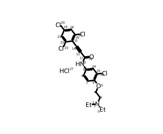 CCN(CC)CCOc1ccc(NC(=O)C#Cc2c(Cl)cc(Cl)cc2Cl)cc1Cl.Cl